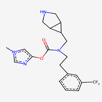 Cn1cnc(OC(=O)N(CCc2cccc(C(F)(F)F)c2)CC2C3CNCC32)c1